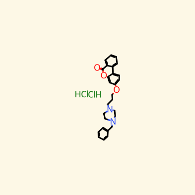 Cl.Cl.O=c1oc2cc(OCCCN3CCN(Cc4ccccc4)CC3)ccc2c2ccccc12